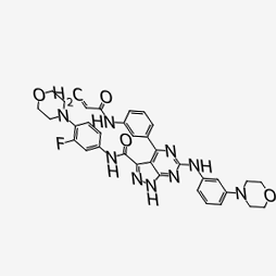 C=CC(=O)Nc1cccc(-c2nc(Nc3cccc(N4CCOCC4)c3)nc3[nH]nc(C(=O)Nc4ccc(N5CCOCC5)c(F)c4)c23)c1